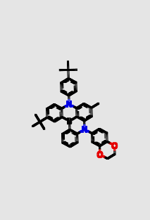 Cc1cc2c3c(c1)N(c1ccc(C(C)(C)C)cc1)c1ccc(C(C)(C)C)cc1B3c1ccccc1N2c1ccc2c(c1)OCCO2